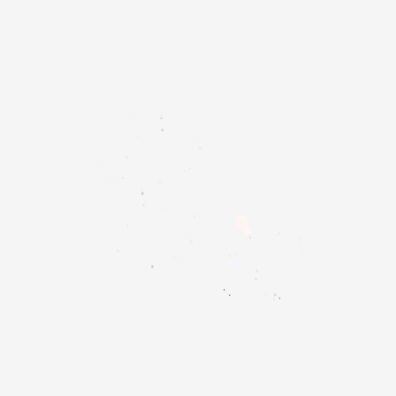 Cc1ccc(C2(c3ccc(C)cc3)c3ccccc3-c3cc4c(cc32)-c2ccc(/C=C3\C(=O)c5ccccc5C3=C(C#N)C#N)cc2C4(c2ccc(C)cc2)c2ccc(C)cc2)cc1